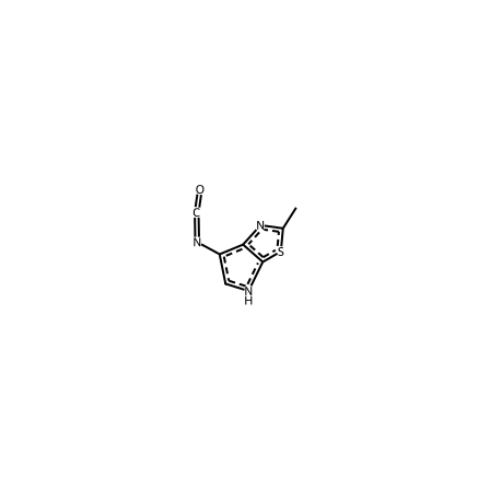 Cc1nc2c(N=C=O)c[nH]c2s1